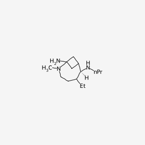 CCCN[C@H]1C(CC)CCN(C)C2(N)CC1C2